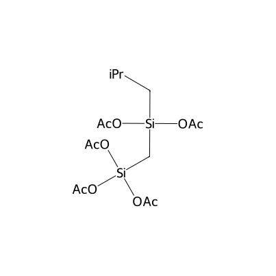 CC(=O)O[Si](CC(C)C)(C[Si](OC(C)=O)(OC(C)=O)OC(C)=O)OC(C)=O